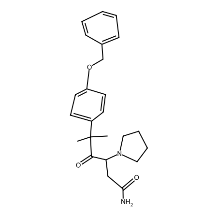 CC(C)(C(=O)C(CC(N)=O)N1CCCC1)c1ccc(OCc2ccccc2)cc1